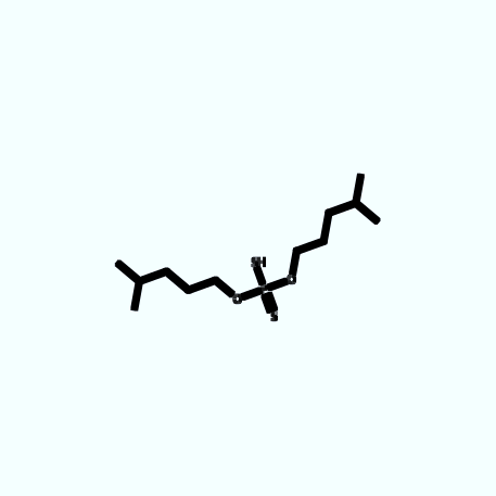 CC(C)CCCOP(=S)(S)OCCCC(C)C